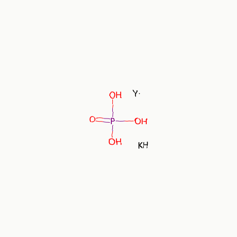 O=P(O)(O)O.[KH].[Y]